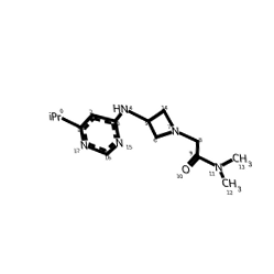 CC(C)c1cc(NC2CN(CC(=O)N(C)C)C2)ncn1